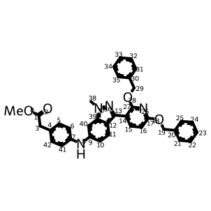 COC(=O)Cc1ccc(Nc2ccc3c(-c4ccc(OCc5ccccc5)nc4OCc4ccccc4)nn(C)c3c2)cc1